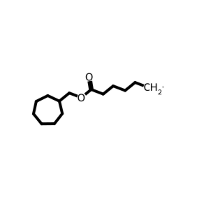 [CH2]CCCCC(=O)OCC1CCCCCC1